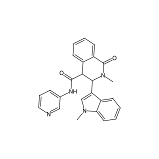 CN1C(=O)c2ccccc2C(C(=O)Nc2cccnc2)C1c1cn(C)c2ccccc12